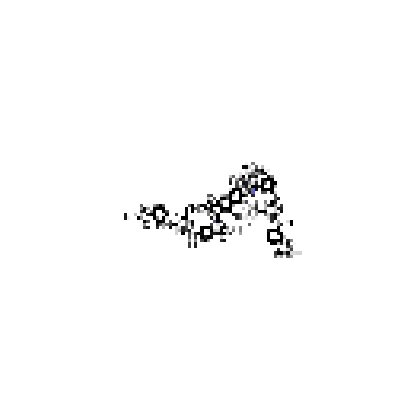 Nc1c(/N=N/c2cc(Nc3nc(Cl)nc(Nc4cccc(S(=O)(=O)O)c4)n3)ccc2S(=O)(=O)O)c(S(=O)(=O)O)cc2cc(S(=O)(=O)O)c(/N=N/c3cc(Nc4nc(Cl)nc(Nc5cccc(S(=O)(=O)O)c5)n4)ccc3S(=O)(=O)O)c(O)c12